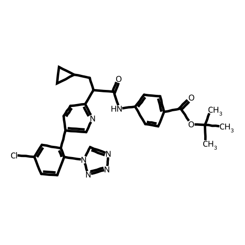 CC(C)(C)OC(=O)c1ccc(NC(=O)C(CC2CC2)c2ccc(-c3cc(Cl)ccc3-n3cnnn3)cn2)cc1